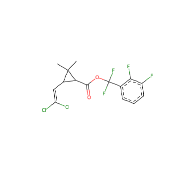 CC1(C)C(C=C(Cl)Cl)C1C(=O)OC(F)(F)c1cccc(F)c1F